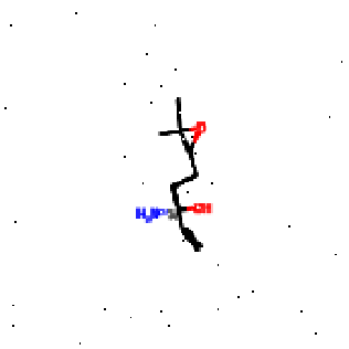 C=C[C@](N)(O)CCC1OC1(C)C